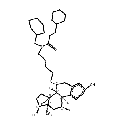 C[C@]12C[C@H](F)[C@@H]3c4ccc(O)cc4C[C@@H](CCCCCN(CC4CCCCC4)C(=O)CCC4CCCCC4)[C@H]3[C@@H]1CC[C@@H]2O